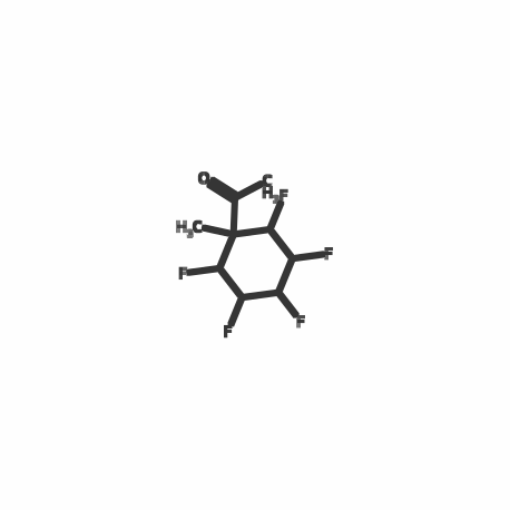 CC(=O)C1(C)C(F)C(F)C(F)C(F)C1F